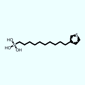 O[Si](O)(O)CCCCCCCCCCc1ccsc1